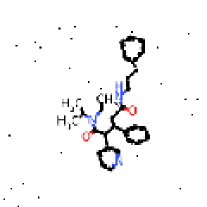 CCN(C(=O)C(c1cccnc1)C(CC(=O)NCCCc1ccccc1)c1ccccc1)C(C)C